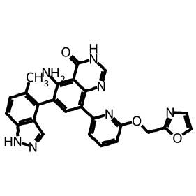 Cc1ccc2[nH]ncc2c1-c1cc(-c2cccc(OCc3ncco3)n2)c2nc[nH]c(=O)c2c1N